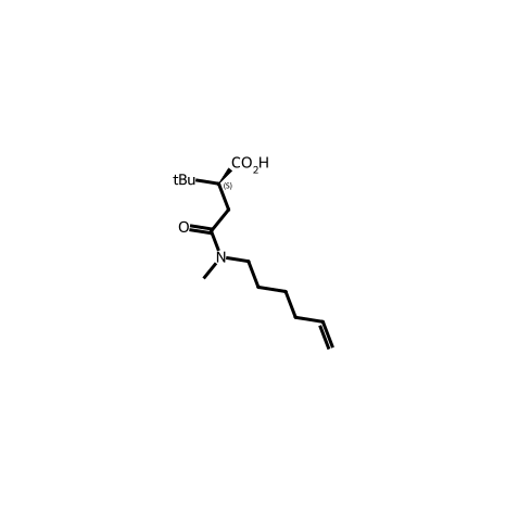 C=CCCCCN(C)C(=O)C[C@H](C(=O)O)C(C)(C)C